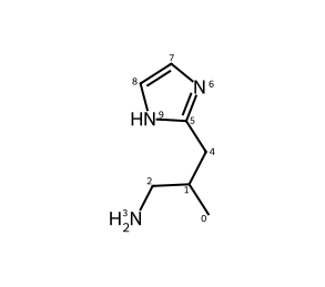 CC(CN)Cc1ncc[nH]1